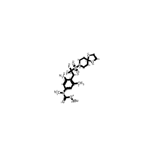 Cc1cc(N(C)C(=O)OC(C)(C)C)cc(C)c1CC(F)(F)S(=O)(=O)N1CCC2(CC1)OCCO2